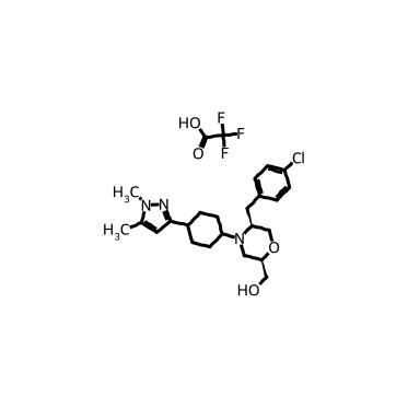 Cc1cc(C2CCC(N3C[C@H](CO)OC[C@@H]3Cc3ccc(Cl)cc3)CC2)nn1C.O=C(O)C(F)(F)F